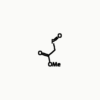 COC(=O)CP=O